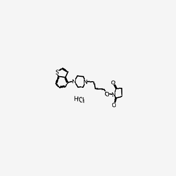 Cl.O=C1CCC(=O)N1OCCCN1CCN(c2cccc3sccc23)CC1